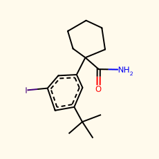 CC(C)(C)c1cc(I)cc(C2(C(N)=O)CCCCC2)c1